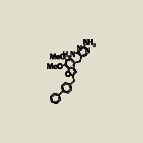 COc1cc(Cc2cnc(N)nc2N)c2cc(Cc3ccc(-c4ccccc4)cc3)oc2c1OC